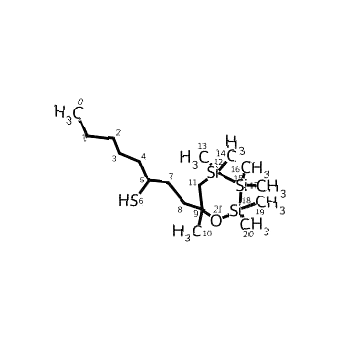 CCCCCC(S)CCC1(C)C[Si](C)(C)[Si](C)(C)[Si](C)(C)O1